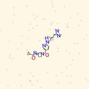 C=N/C(=C\C=C(/C)CNc1ccc(C(=O)N2CC[C@H](N(C)C(=O)C3CC3)C2)cn1)N(C)C